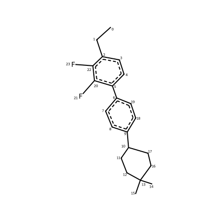 CCc1ccc(-c2ccc(C3CCC(C)(C)CC3)cc2)c(F)c1F